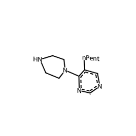 CCCCCc1cn[c]nc1N1CCNCC1